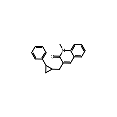 Cn1c(=O)c(CC2CC2c2ccccc2)cc2ccccc21